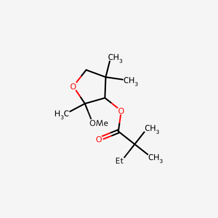 CCC(C)(C)C(=O)OC1C(C)(C)COC1(C)OC